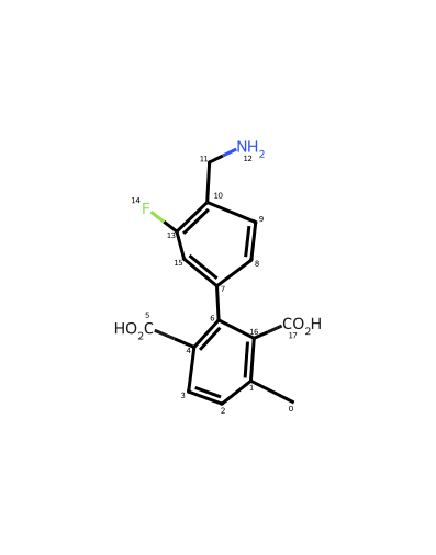 Cc1ccc(C(=O)O)c(-c2ccc(CN)c(F)c2)c1C(=O)O